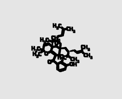 C=C(C)[C@@H](CC=C(C)C)C[C@@]12C[C@@H](CC=C(C)C)C(C)(C)[C@]3(C=CC(C)(C)OC3=C(C(=O)c3cccc(O)c3)C1=O)C2=O